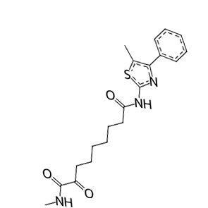 CNC(=O)C(=O)CCCCCCC(=O)Nc1nc(-c2ccccc2)c(C)s1